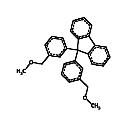 COCc1cccc(C2(c3cccc(COC)c3)c3ccccc3-c3ccccc32)c1